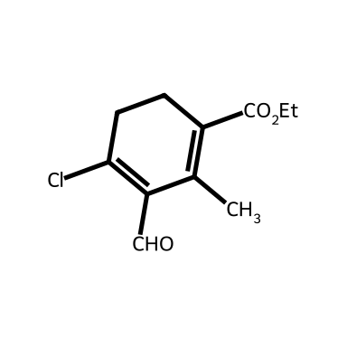 CCOC(=O)C1=C(C)C(C=O)=C(Cl)CC1